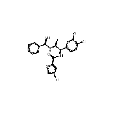 N=C(NC(=O)C(NC(=O)c1cc(Br)co1)c1ccc(Cl)c(Cl)c1)c1ccccc1